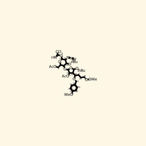 CCCCOC1OC(OC2C(COC(C)=O)OC(OC(=N)C(Cl)(Cl)Cl)C(N=[N+]=[N-])C2OCCCC)C(OC(C)=O)C1C(CCCOOC)OCc1ccc(OC)cc1